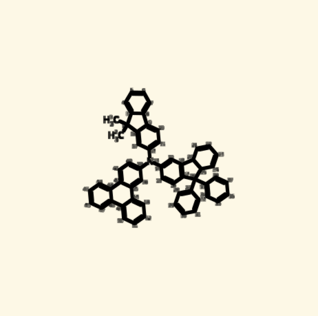 CC1(C)c2ccccc2-c2ccc(N(c3ccc4c(c3)C3C=CC=CC3C4(c3ccccc3)c3ccccc3)c3ccc4c5ccccc5c5ccccc5c4c3)cc21